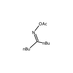 CCCCC(CCCC)=NOC(C)=O